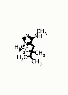 CNc1ncn(C)c1CC(C)(C)C(C)C